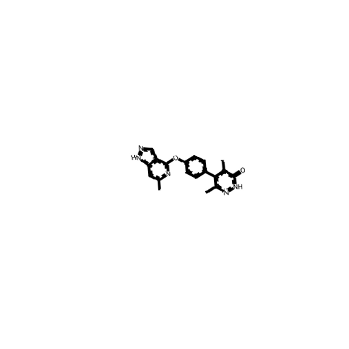 Cc1cc2[nH]ncc2c(Oc2ccc(-c3c(C)n[nH]c(=O)c3C)cc2)n1